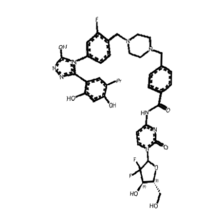 CC(C)c1cc(-c2nnc(O)n2-c2ccc(CN3CCN(Cc4ccc(C(=O)Nc5ccn(C6O[C@H](CO)[C@@H](O)C6(F)F)c(=O)n5)cc4)CC3)c(F)c2)c(O)cc1O